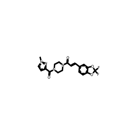 Cn1ccc(C(=O)N2CCN(C(=O)/C=C/c3ccc4c(c3)OC(F)(F)O4)CC2)n1